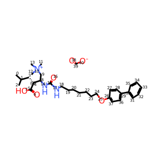 CC(C)C[C@@H](C(=O)O)C(C[N+](C)(C)C)NC(=O)NCCCCCCCOc1ccc(-c2ccccc2)cc1.O=C[O-]